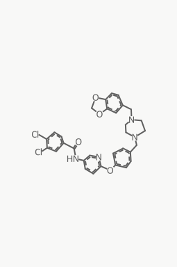 O=C(Nc1ccc(Oc2ccc(CN3CCN(Cc4ccc5c(c4)OCO5)CC3)cc2)nc1)c1ccc(Cl)c(Cl)c1